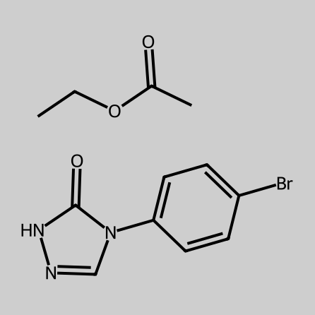 CCOC(C)=O.O=c1[nH]ncn1-c1ccc(Br)cc1